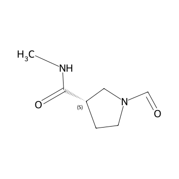 CNC(=O)[C@H]1CCN(C=O)C1